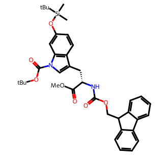 COC(=O)[C@H](Cc1cn(C(=O)OC(C)(C)C)c2cc(O[Si](C)(C)C(C)(C)C)ccc12)NC(=O)OCC1c2ccccc2-c2ccccc21